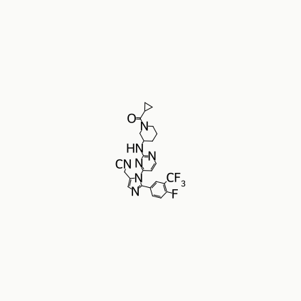 N#CCc1cnc(-c2ccc(F)c(C(F)(F)F)c2)n1-c1ccnc(NC2CCCN(C(=O)C3CC3)C2)n1